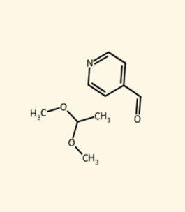 COC(C)OC.O=Cc1ccncc1